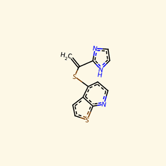 C=C(Sc1ccnc2sccc12)c1ncc[nH]1